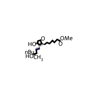 CCCC[C@](C)(O)C/C=C/[C@H]1[C@H](CCCCCCC(=O)OC)C(=O)C[C@@H]1O